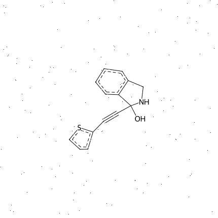 OC1(C#Cc2cccs2)NCc2ccccc21